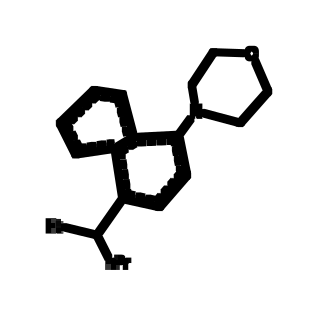 CCCC(CC)c1ccc(N2CCOCC2)c2ccccc12